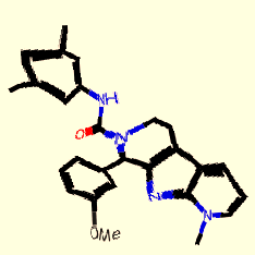 COc1cccc(C2c3nc4n(C)cccc-4c3CCN2C(=O)Nc2cc(C)cc(C)c2)c1